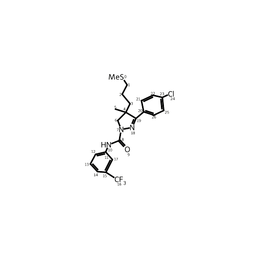 CSCCCC1(C)CN(C(=O)Nc2cccc(C(F)(F)F)c2)N=C1c1ccc(Cl)cc1